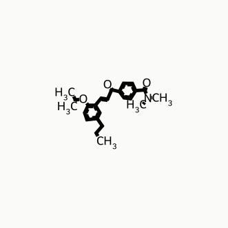 CCCc1ccc(OC(C)C)c(C=CC(=O)c2ccc(C(=O)N(C)C)cc2)c1